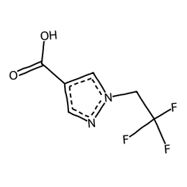 O=C(O)c1cnn(CC(F)(F)F)c1